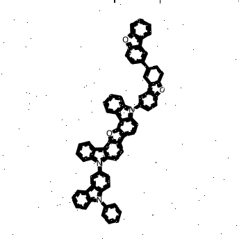 C1=C(c2ccc3oc4ccccc4c3c2)CCc2oc3ccc(-n4c5ccccc5c5c6oc7c(ccc8c7c7ccccc7n8-c7ccc8c(c7)c7ccccc7n8-c7ccccc7)c6ccc54)cc3c21